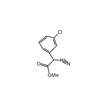 COC(=O)C([N+]#N)c1cccc(Cl)c1